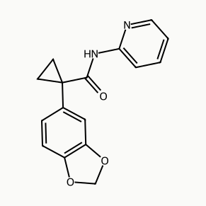 O=C(Nc1ccccn1)C1(c2ccc3c(c2)OCO3)CC1